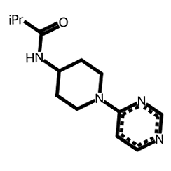 CC(C)C(=O)NC1CCN(c2ccncn2)CC1